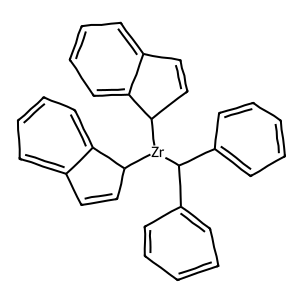 C1=C[CH]([Zr]([CH]2C=Cc3ccccc32)[CH](c2ccccc2)c2ccccc2)c2ccccc21